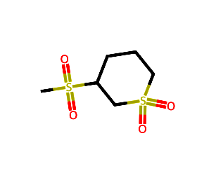 CS(=O)(=O)C1CCCS(=O)(=O)C1